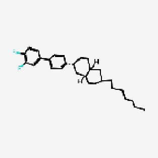 CCCCCCCC1CC[C@@H]2C[C@H](c3ccc(-c4ccc(F)c(F)c4)cc3)CC[C@@H]2C1